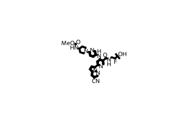 COC(=O)NC1CCN(c2ccc(Nc3cc(-c4ccc5cc(C#N)cnn45)ncc3C(=O)NC[C@@H](F)C(C)(C)O)cn2)CC1